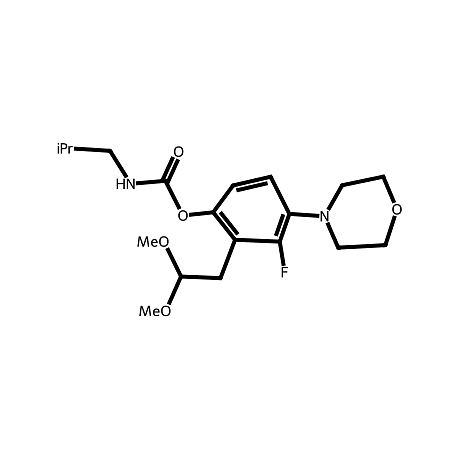 COC(Cc1c(OC(=O)NCC(C)C)ccc(N2CCOCC2)c1F)OC